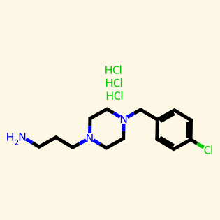 Cl.Cl.Cl.NCCCN1CCN(Cc2ccc(Cl)cc2)CC1